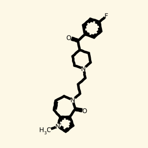 Cn1ccc2c1C=CCN(CCCN1CCC(C(=O)c3ccc(F)cc3)CC1)C2=O